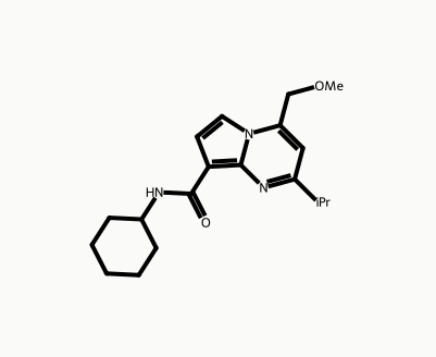 COCc1cc(C(C)C)nc2c(C(=O)NC3CCCCC3)ccn12